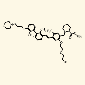 Cc1c(/C=C/c2cc(OCCOCCBr)c(CN3CCCC[C@H]3C(=O)OC(C)(C)C)cc2C(F)(F)F)cccc1-c1cccc(OCCCN2CCOCC2)c1C